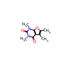 Cc1oc2c(c1C)c(=O)n(C)c(=O)n2C